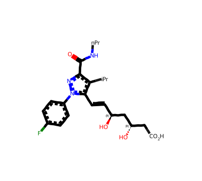 CCCNC(=O)c1nn(-c2ccc(F)cc2)c(C=C[C@H](O)C[C@@H](O)CC(=O)O)c1C(C)C